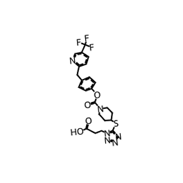 O=C(O)CCn1nnnc1SC1CCN(C(=O)Oc2ccc(Cc3ccc(C(F)(F)F)cn3)cc2)CC1